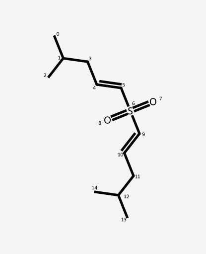 CC(C)CC=CS(=O)(=O)C=CCC(C)C